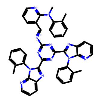 Cc1ccccc1N(C)c1ncccc1/C=N/c1nc(-c2nc3cccnc3n2-c2ccccc2C)nc(-c2nc3cccnc3n2-c2ccccc2C)n1